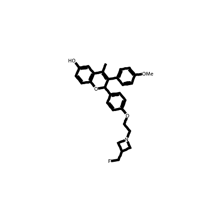 COc1ccc(C2=C(C)c3cc(O)ccc3OC2c2ccc(OCCN3CC(CF)C3)cc2)cc1